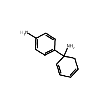 Nc1ccc(C2(N)C=CC=CC2)cc1